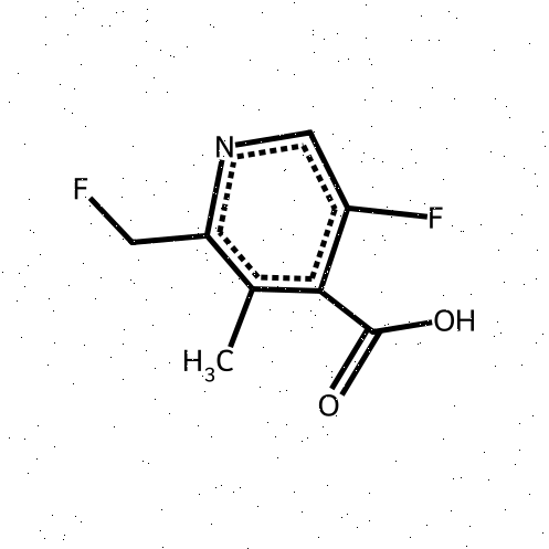 Cc1c(CF)ncc(F)c1C(=O)O